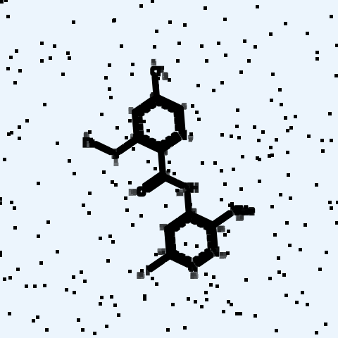 CCSc1cc(C(F)(F)F)cnc1C(=O)Nc1cc(I)nnc1NC